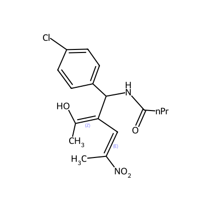 CCCC(=O)NC(C(/C=C(\C)[N+](=O)[O-])=C(/C)O)c1ccc(Cl)cc1